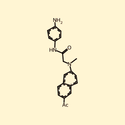 CC(=O)c1ccc2cc(N(C)CC(=O)Nc3ccc(N)cc3)ccc2c1